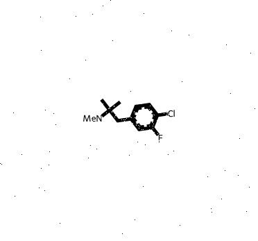 CNC(C)(C)Cc1ccc(Cl)c(F)c1